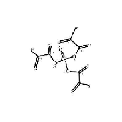 C=C(C)C(=C)OP(=O)(OC(=C)C(=C)C)OC(=C)C(=C)C